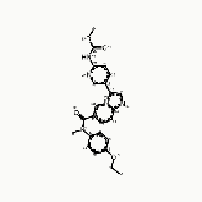 CCOc1ccc(N(C)C(=O)c2ccc3ncc(-c4ccc(NC(=O)OC)nc4)n3c2)cc1